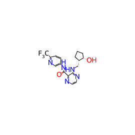 O=C(Nc1ccc(C(F)(F)F)nc1)c1nccnc1NC[C@@H]1CCC[C@@H]1O